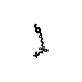 C=Cc1ccc(COCCCCOP(=O)(O)OCC[PH](C)(C)C)cc1